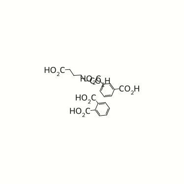 O=C(O)CCCCC(=O)O.O=C(O)c1cccc(C(=O)O)c1.O=C(O)c1ccccc1C(=O)O